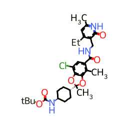 CCc1cc(C)[nH]c(=O)c1CNC(=O)c1cc(Cl)c2c(c1C)OC(C)([C@H]1CC[C@H](NC(=O)OC(C)(C)C)CC1)O2